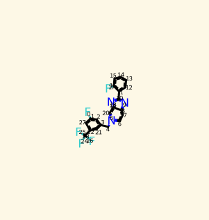 Fc1cc(Cn2ccc3nc(-c4ccccc4F)nc-3c2)cc(C(F)(F)F)c1